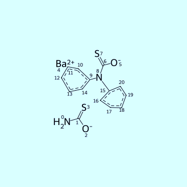 NC([O-])=S.[Ba+2].[O-]C(=S)N(c1ccccc1)c1ccccc1